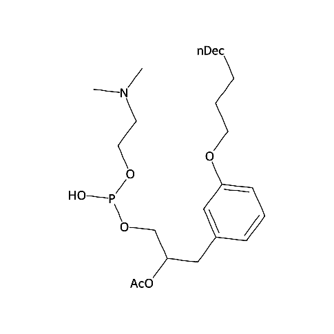 CCCCCCCCCCCCCOc1cccc(CC(COP(O)OCCN(C)C)OC(C)=O)c1